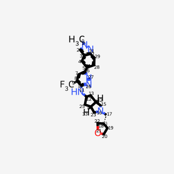 Cn1cc2cc(-c3cc(C(F)(F)F)c(NC4C[C@@H]5CN(C[C@@H]6CCOC6)C[C@@H]5C4)nn3)ccc2n1